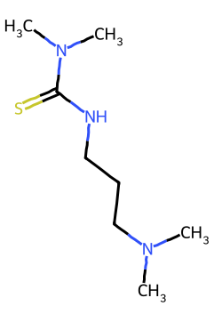 CN(C)CCCNC(=S)N(C)C